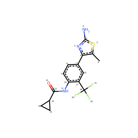 Cc1sc(N)nc1-c1ccc(NC(=O)C2CC2)c(C(F)(F)F)c1